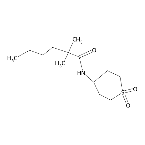 CCCCC(C)(C)C(=O)NC1CCS(=O)(=O)CC1